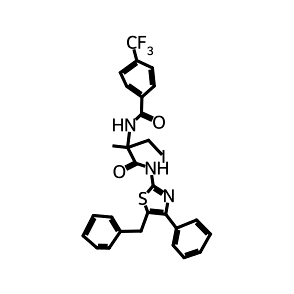 CC(CI)(NC(=O)c1ccc(C(F)(F)F)cc1)C(=O)Nc1nc(-c2ccccc2)c(Cc2ccccc2)s1